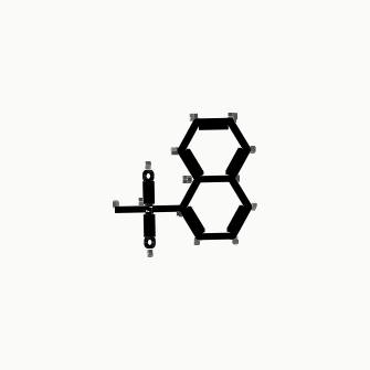 CS(=O)(=O)c1cccc2c[c]ccc12